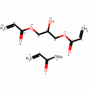 C=CC(=O)OC.C=CC(=O)OCC(O)COC(=O)C=C